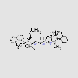 CCC[N+]1=C(/C=C/C=C/C=C2/N(C)c3c(ccc4ccccc34)C2(C)C)C(C)(C)c2c1ccc1ccccc21